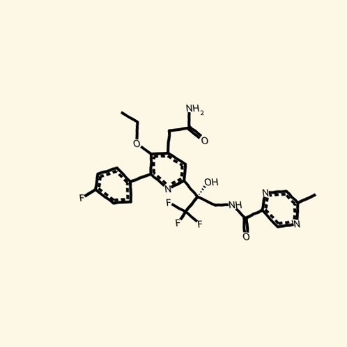 CCOc1c(CC(N)=O)cc([C@@](O)(CNC(=O)c2cnc(C)cn2)C(F)(F)F)nc1-c1ccc(F)cc1